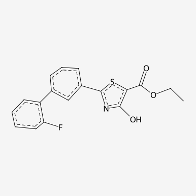 CCOC(=O)c1sc(-c2cccc(-c3ccccc3F)c2)nc1O